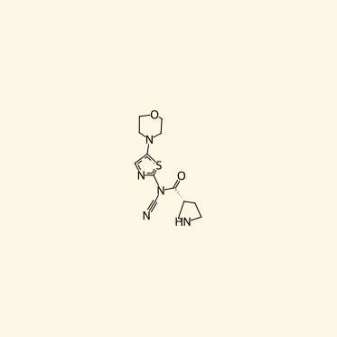 N#CN(C(=O)[C@@H]1CCNC1)c1ncc(N2CCOCC2)s1